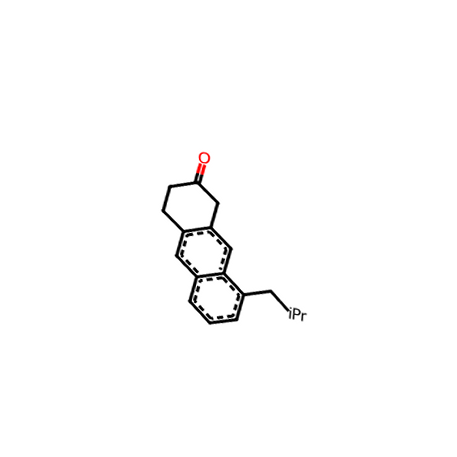 CC(C)Cc1cccc2cc3c(cc12)CC(=O)CC3